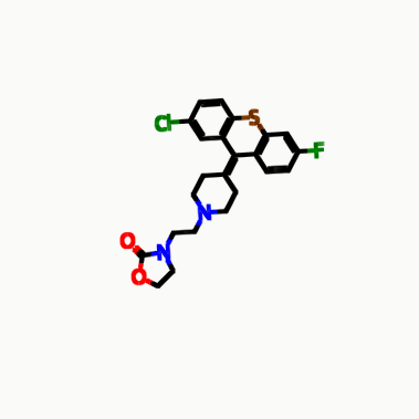 O=C1OCCN1CCN1CCC(=C2c3ccc(F)cc3Sc3ccc(Cl)cc32)CC1